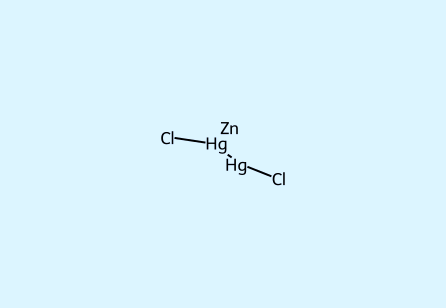 [Cl][Hg][Hg][Cl].[Zn]